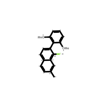 COc1cccc(OC)c1-c1ccc2ccc(C)cc2c1F